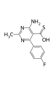 Cc1nc(N)c(C(O)=S)c(-c2ccc(F)cc2)n1